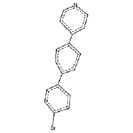 Brc1ccc(-c2ccc(-c3ccncc3)cc2)cc1